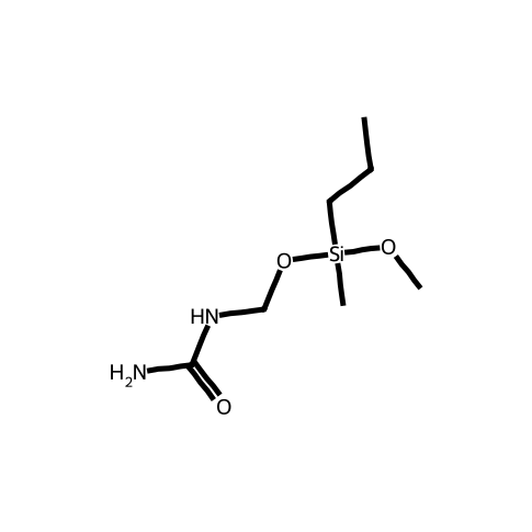 CCC[Si](C)(OC)OCNC(N)=O